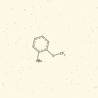 CCCCc1ccccc1SC(F)(F)F